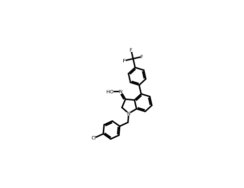 ON=C1CN(Cc2ccc(Cl)cc2)c2cccc(-c3ccc(C(F)(F)F)cc3)c21